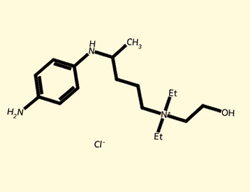 CC[N+](CC)(CCO)CCCC(C)Nc1ccc(N)cc1.[Cl-]